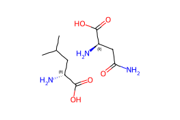 CC(C)C[C@@H](N)C(=O)O.NC(=O)C[C@@H](N)C(=O)O